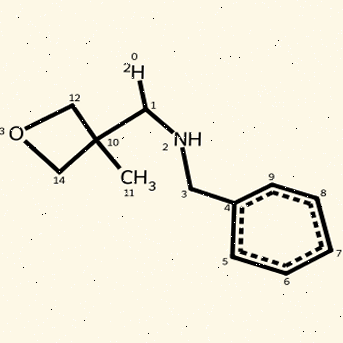 [2H]C(NCc1ccccc1)C1(C)COC1